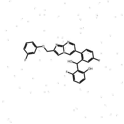 Oc1cccc(F)c1C(O)c1cc(F)ccc1-c1cnc2nc(COc3cccc(F)c3)cn2c1